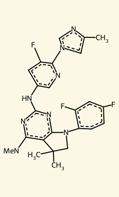 CNc1nc(Nc2cnc(-n3cnc(C)c3)c(F)c2)nc2c1C(C)(C)CN2c1ccc(F)cc1F